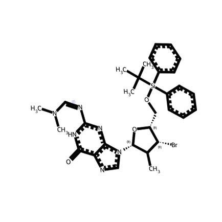 CC1[C@@H](Br)[C@@H](CO[Si](c2ccccc2)(c2ccccc2)C(C)(C)C)O[C@H]1n1cnc2c(=O)[nH]c(/N=C\N(C)C)nc21